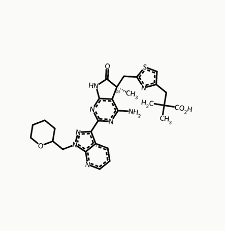 CC(C)(Cc1csc(C[C@]2(C)C(=O)Nc3nc(-c4nn(CC5CCCCO5)c5ncccc45)nc(N)c32)n1)C(=O)O